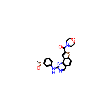 C[S@@+]([O-])c1cccc(Nc2ncc3c(n2)C2C=C(C(=O)N4CCOCC4)SC2C=C3)c1